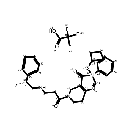 C[C@@H](CNCCC(=O)N1CCC2=C(C1)C(=O)[N+](SC1CCC1)(c1ccccc1)C=N2)c1ccccc1.O=C(O)C(F)(F)F